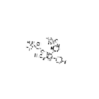 CSc1nc(-c2ccc(F)cc2)c(-c2ccnc(S(C)(=O)=O)n2)n1COCC[Si](C)(C)C